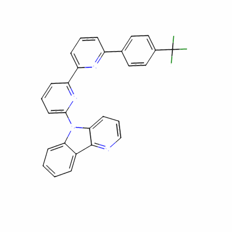 FC(F)(F)c1ccc(-c2cccc(-c3cccc(-n4c5ccccc5c5ncccc54)n3)n2)cc1